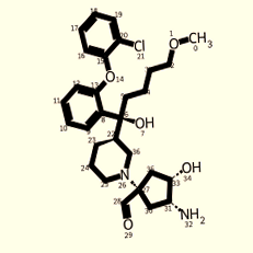 COCCCC[C@@](O)(c1ccccc1Oc1ccccc1Cl)[C@@H]1CCCN([C@@]2(C=O)C[C@@H](N)[C@@H](O)C2)C1